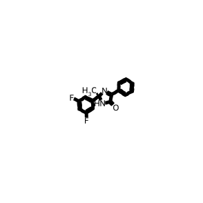 C[C@@]1(c2cc(F)cc(F)c2)N=C(c2ccccc2)C(=O)N1